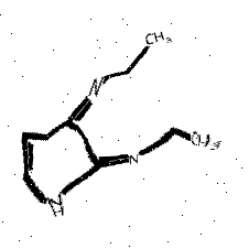 CC/N=C1/C=CN/C1=N/CC